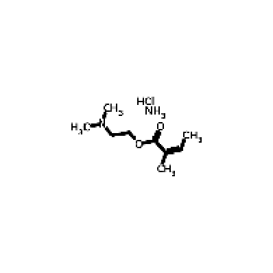 CC=C(C)C(=O)OCCN(C)C.Cl.N